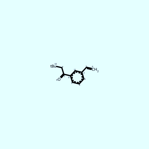 C=Cc1cccc(C(=O)CC(C)(C)C)c1